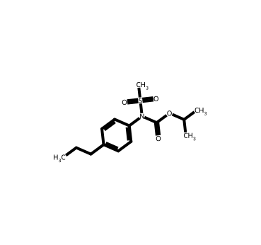 CCCc1ccc(N(C(=O)OC(C)C)S(C)(=O)=O)cc1